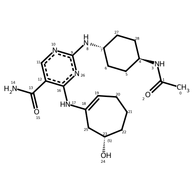 CC(=O)N[C@H]1CC[C@H](Nc2ncc(C(N)=O)c(NC3=CCCC[C@H](O)C3)n2)CC1